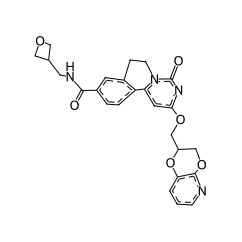 O=C(NCC1COC1)c1ccc2c(c1)CCn1c-2cc(OCC2COc3ncccc3O2)nc1=O